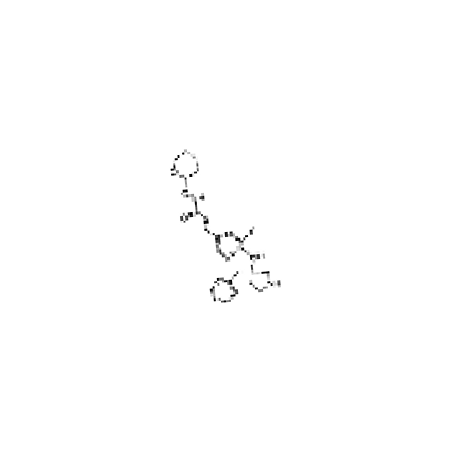 O=C(/C=C/c1cnc(N[C@]2(Cc3ccccc3)CCNC2)c(Cl)c1)NOC1CCCCO1